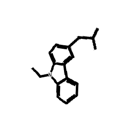 CCn1c2ccccc2c2cc(CC(C)C)ccc21